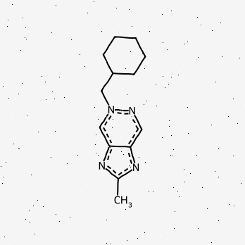 Cc1nc2cnn(CC3CCCCC3)cc-2n1